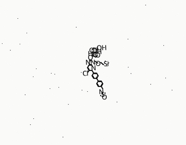 C[Si](C)(C)CCOCn1c(O[C@@H]2CO[C@H]3[C@@H]2OC[C@H]3O)nc2cc(Cl)c(-c3ccc(-c4ccc(CN=S(C)(C)=O)cc4)cc3)nc21